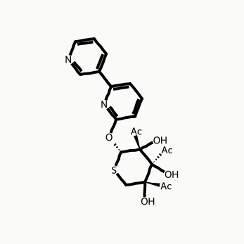 CC(=O)[C@]1(O)[C@@](O)(C(C)=O)CS[C@H](Oc2cccc(-c3cccnc3)n2)[C@@]1(O)C(C)=O